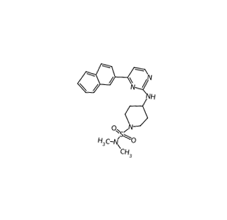 CN(C)S(=O)(=O)N1CCC(Nc2nccc(-c3ccc4ccccc4c3)n2)CC1